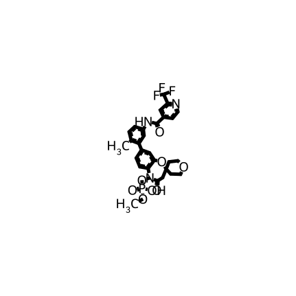 COP(=O)(O)ON1C(=O)CC2(CCOCC2)Oc2cc(-c3cc(NC(=O)c4ccnc(C(F)(F)F)c4)ccc3C)ccc21